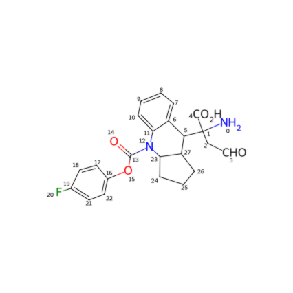 NC(CC=O)(C(=O)O)C1c2ccccc2N(C(=O)Oc2ccc(F)cc2)C2CCCC21